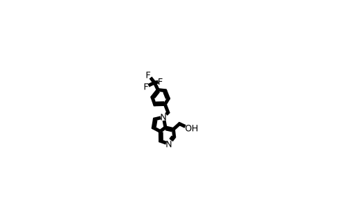 OCc1cncc2ccn(Cc3ccc(C(F)(F)F)cc3)c12